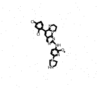 COc1nc(N2CCNCC2)ccc1Nc1ncc2c(n1)N1CCCN=C1C(c1ccc(Cl)cc1Cl)=C2